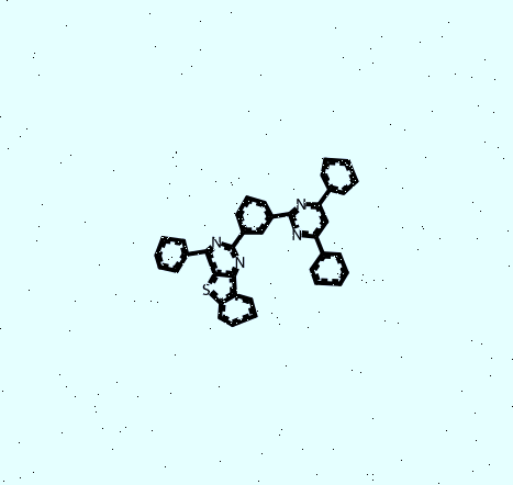 c1ccc(-c2cc(-c3ccccc3)nc(-c3cccc(-c4nc(-c5ccccc5)c5sc6ccccc6c5n4)c3)n2)cc1